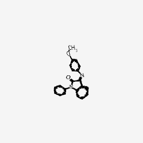 COc1ccc(/N=C2\C(=O)N(c3ccccc3)c3ccccc32)cc1